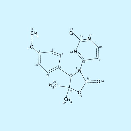 COc1ccc(C2N(c3ccnc(Cl)n3)C(=O)OC2(C)C)cc1